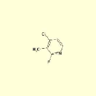 Cc1c(Cl)ccnc1F